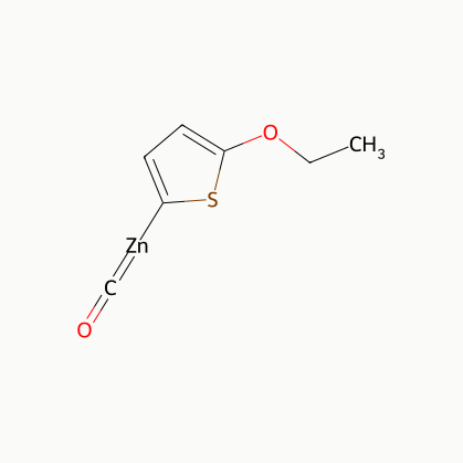 CCOc1cc[c]([Zn]=[C]=O)s1